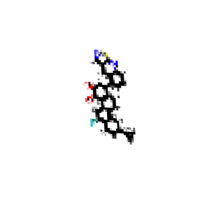 O=C1CC(c2c[c]cc3nc4sncc4cc23)c2ccc3c4c(c(F)cc3c2C1=O)C=CC(C1CC1)C4